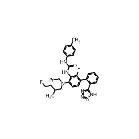 Cc1ccc(NC(=O)Nc2c(N(CC(C)C)CC(C)CCF)ccc(-c3ccccc3-c3nnn[nH]3)c2F)cc1